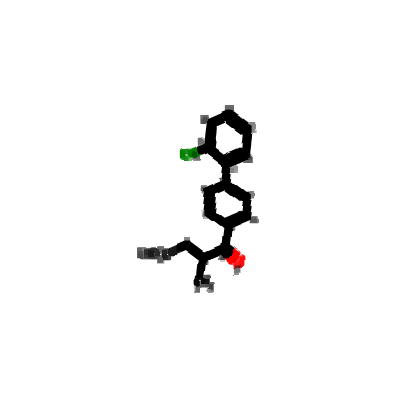 CCOC(=O)CC(C)C(=O)c1ccc(-c2ccccc2Cl)cc1